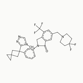 Cn1cnnc1C1(c2cccc(N3Cc4c(cc(CN5CCC(F)(F)CC5)cc4C(F)(F)F)C3=O)c2)CC2(CC2)C1